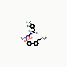 Cc1ccc(CC(C)(C)NC[C@@H](O)CN(C)S(=O)(=O)c2cccc(-c3cccc(C=CC(=O)O)c3)c2)cc1F